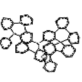 c1ccc(-c2ccccc2N(c2ccc3c(c2)-c2ccccc2-c2ccccc2N3c2ccccc2)c2ccc3c(c2)C2(c4ccccc4-c4ccccc4-3)c3ccccc3-c3c2ccc2oc4ccccc4c32)cc1